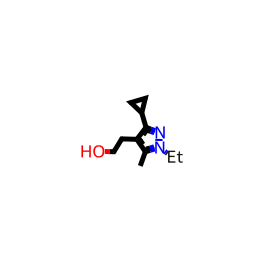 CCn1nc(C2CC2)c(CCO)c1C